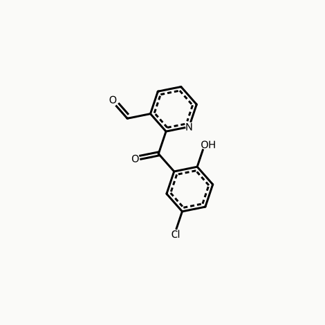 O=Cc1cccnc1C(=O)c1cc(Cl)ccc1O